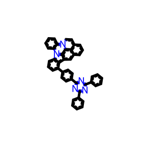 c1ccc(-c2nc(-c3ccccc3)nc(-c3ccc(-c4cccc5c4c4cc6cccc7ccn8c9ccccc9n5c4c-8c76)cc3)n2)cc1